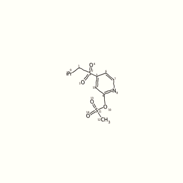 CC(C)CS(=O)(=O)c1ccnc(OS(C)(=O)=O)c1